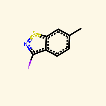 Cc1ccc2c(I)nsc2c1